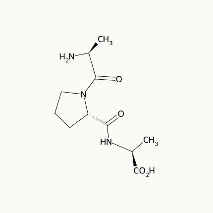 C[C@H](N)C(=O)N1CCC[C@H]1C(=O)N[C@@H](C)C(=O)O